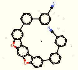 N#Cc1cccc(-c2cccc(-c3ccc4oc5cc6oc7ccc(-c8cccc(-c9cccc(C#N)c9)c8)cc7c6cc5c4c3)c2)c1